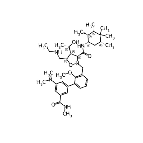 CCNC[C@@H]1ON(Cc2cccc(-c3cc(C(=O)NC)cc(N(C)C)c3)c2OC)[C@H](C(=O)N[C@H]2C[C@@H](C)C(C)(C)[C@@H](C)[C@@H]2C)[C@@H]1[C@H](C)O